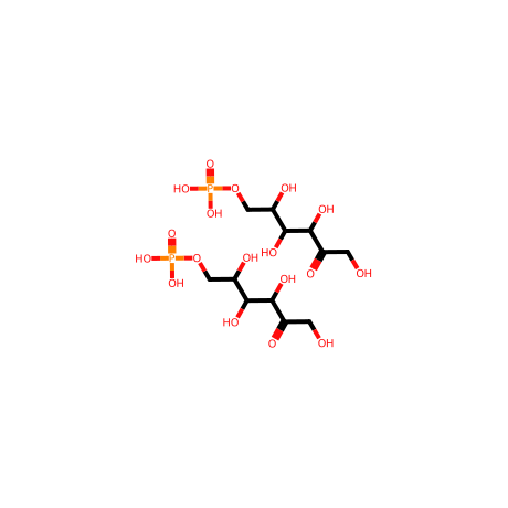 O=C(CO)C(O)C(O)C(O)COP(=O)(O)O.O=C(CO)C(O)C(O)C(O)COP(=O)(O)O